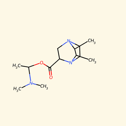 CC(OC(=O)C1CN2CCN1C(C)C2C)N(C)C